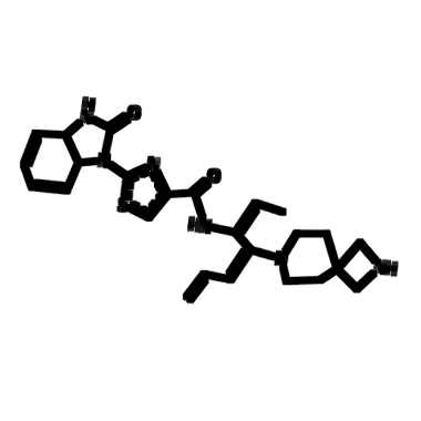 C=C/C=C(\C(=C/C)NC(=O)c1csc(N2C(=O)NC3C=CC=CC32)n1)N1CCC2(CC1)CNC2